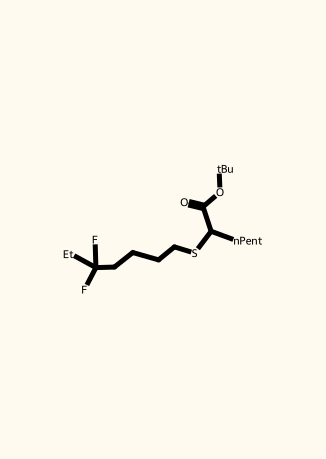 CCCCCC(SCCCCC(F)(F)CC)C(=O)OC(C)(C)C